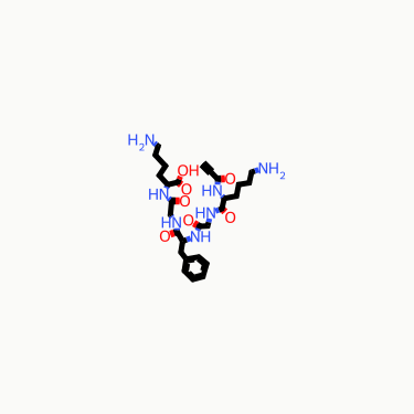 C#CC(=O)NC(CCCCN)C(=O)NCC(=O)NC(Cc1ccccc1)C(=O)NCC(=O)NC(CCCCN)C(=O)O